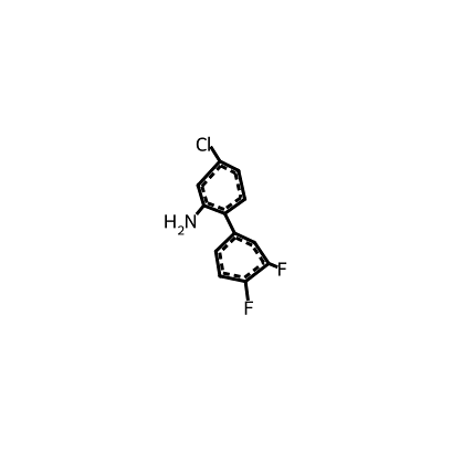 Nc1cc(Cl)ccc1-c1ccc(F)c(F)c1